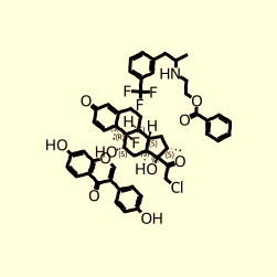 CC(Cc1cccc(C(F)(F)F)c1)NCCOC(=O)c1ccccc1.C[C@H]1C[C@H]2[C@@H]3CCC4=CC(=O)C=C[C@]4(C)[C@@]3(F)[C@@H](O)C[C@]2(C)[C@@]1(O)C(=O)CCl.O=c1c(-c2ccc(O)cc2)coc2cc(O)ccc12